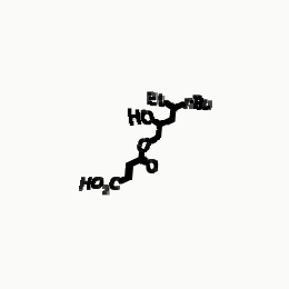 CCCCC(CC)CC(O)COC(=O)C=CC(=O)O